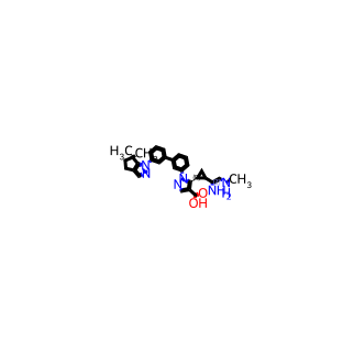 CN/C=C(\N)C1C[C@H]1c1c(C(=O)O)cnn1-c1cccc(-c2cccc(-n3ncc4c3C(C)(C)CC4)c2)c1